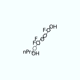 CCCC(O)C1CCC(c2ccc(COc3ccc(-c4ccc(O)cc4F)cc3)c(F)c2F)CC1